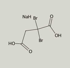 O=C(O)CC(Br)(Br)C(=O)O.[NaH]